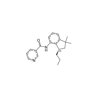 CCC[C@@H]1CC(C)(C)c2cccc(NC(=O)c3cccnc3)c21